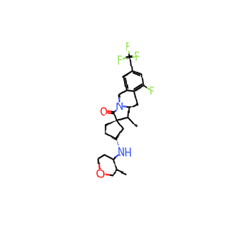 CC1COCCC1N[C@@H]1CC[C@@]2(C1)C(=O)N1Cc3cc(C(F)(F)F)cc(F)c3CC1C2C